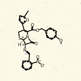 COc1ccc(COC(=O)C2=C(c3ccc(C)o3)CS[C@@H]3[C@H](/N=C/c4ccccc4[N+](=O)[O-])C(=O)N23)cc1